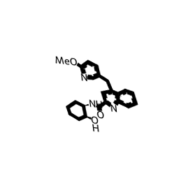 COc1ccc(Cc2cc(C(=O)N[C@H]3CCCC[C@@H]3O)nc3ccccc23)cn1